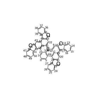 c1cc2c3c(c1)-c1c4c(cc5oc6ccccc6c5c4cc4oc5ccccc5c14)B3c1cc3oc4ccccc4c3c3cc4oc5ccccc5c4c-2c13